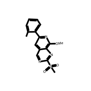 COc1nc(-c2c[c]ccc2C)cc2cnc(S(C)(=O)=O)nc12